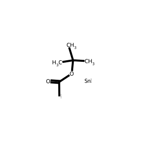 [C]C(=O)OC(C)(C)C.[Sn]